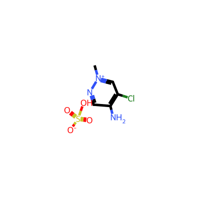 C[n+]1cc(Cl)c(N)cn1.O=S(=O)([O-])O